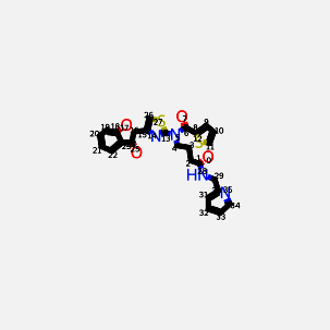 O=C(CCCN(C(=O)c1cccs1)c1nc(C2Oc3ccccc3C2=O)cs1)NCc1ccccn1